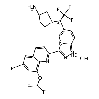 Cl.Cl.NC1CCN([C@H](c2ccc3nnc(-c4ccc5cc(F)cc(OC(F)F)c5n4)n3c2)C(F)(F)F)C1